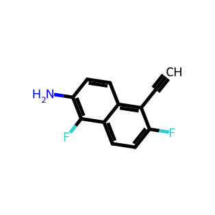 C#Cc1c(F)ccc2c(F)c(N)ccc12